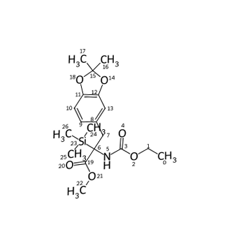 CCOC(=O)NC(Cc1ccc2c(c1)OC(C)(C)O2)(C(=O)OC)[Si](C)(C)C